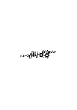 COC(=O)CS(=O)(=O)N1CC=C(c2ccc(-c3cccc(OC)c3)c(OC)c2)CC1